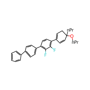 CCCOC1(CCC)C=CC(c2ccc(-c3ccc(-c4ccccc4)cc3)c(F)c2F)=CC1